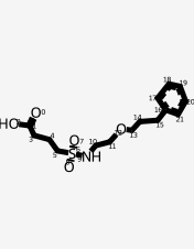 O=C(O)CCCS(=O)(=O)NCCOCCCc1ccccc1